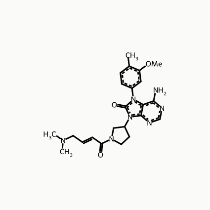 COc1cc(-n2c(=O)n(C3CCN(C(=O)C=CCN(C)C)C3)c3ncnc(N)c32)ccc1C